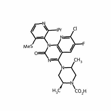 CSc1ccnc(C(C)C)c1-n1c(=O)nc(N2C[C@H](C)N(C(=O)O)CC2C)c2cc(F)c(Cl)nc21